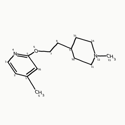 Cc1ccnc(OCCC2CCN(C)CC2)c1